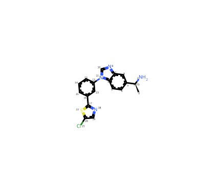 C[C@H](N)c1ccc2c(c1)ncn2-c1cccc(-c2ncc(Cl)s2)c1